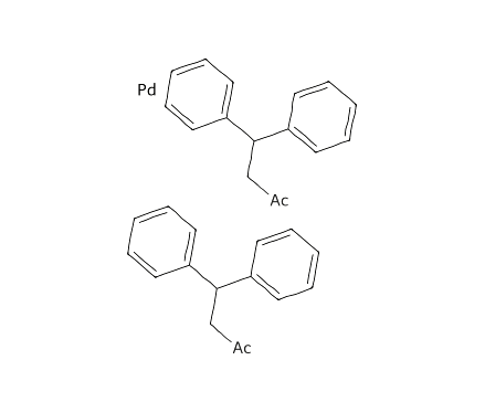 CC(=O)CC(c1ccccc1)c1ccccc1.CC(=O)CC(c1ccccc1)c1ccccc1.[Pd]